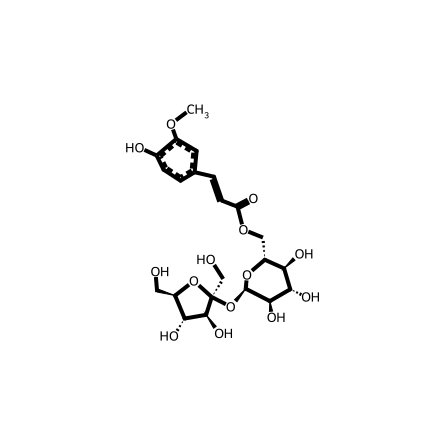 COc1cc(/C=C/C(=O)OC[C@H]2O[C@H](O[C@]3(CO)O[C@H](CO)[C@@H](O)[C@@H]3O)[C@H](O)[C@@H](O)[C@@H]2O)ccc1O